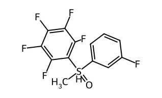 C[SH](=O)(c1cccc(F)c1)c1c(F)c(F)c(F)c(F)c1F